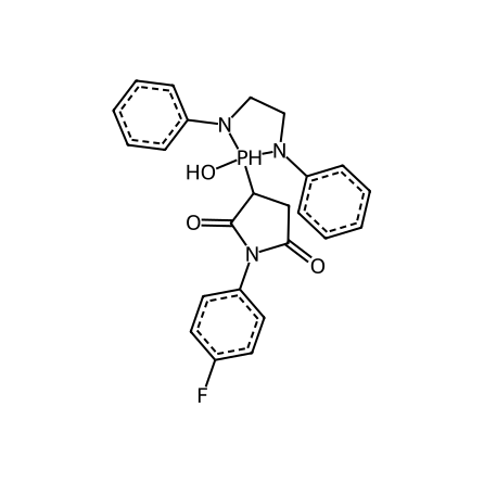 O=C1CC([PH]2(O)N(c3ccccc3)CCN2c2ccccc2)C(=O)N1c1ccc(F)cc1